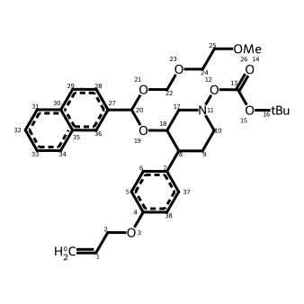 C=CCOc1ccc(C2CCN(OC(=O)OC(C)(C)C)CC2OC(OCOCCOC)c2ccc3ccccc3c2)cc1